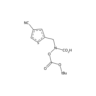 CC(C)(C)OC(=O)ON(Cc1cc(C#N)cs1)C(=O)O